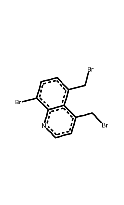 BrCc1ccnc2c(Br)ccc(CBr)c12